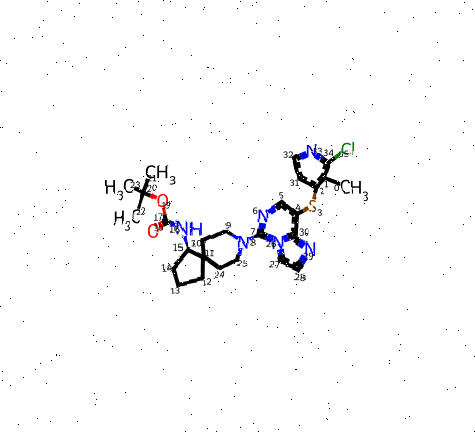 Cc1c(Sc2cnc(N3CCC4(CCC[C@H]4NC(=O)OC(C)(C)C)CC3)n3ccnc23)ccnc1Cl